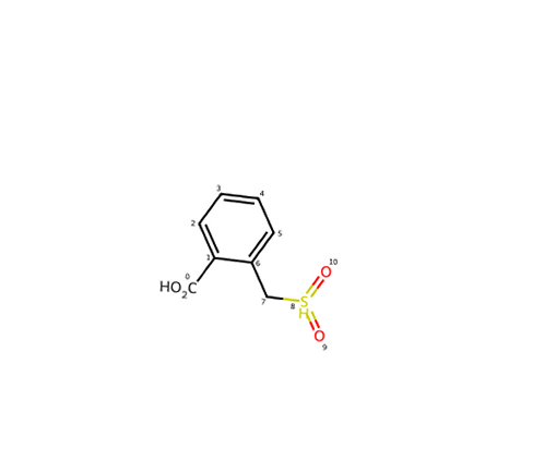 O=C(O)c1ccccc1C[SH](=O)=O